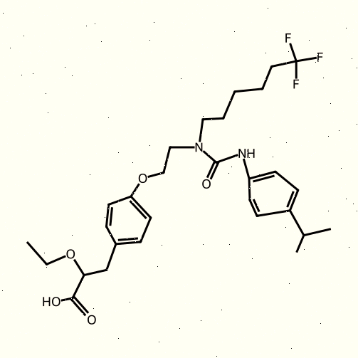 CCOC(Cc1ccc(OCCN(CCCCCC(F)(F)F)C(=O)Nc2ccc(C(C)C)cc2)cc1)C(=O)O